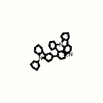 N#Cc1ccc(-c2ccc3c(c2)c2ccccc2n3-c2ccccc2)c(-c2ccccc2-n2c3ccccc3c3ccccc32)c1